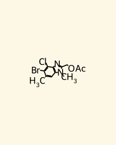 CC(=O)OCc1nc2c(Cl)c(Br)c(C)cc2n1C